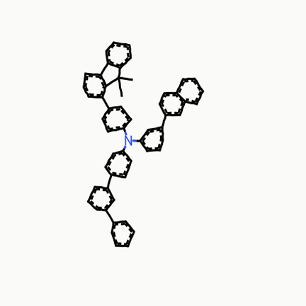 CC1(C)c2ccccc2-c2cccc(-c3ccc(N(c4ccc(-c5cccc(-c6ccccc6)c5)cc4)c4cccc(-c5ccc6ccccc6c5)c4)cc3)c21